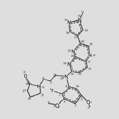 COc1cc(OC)c(F)c(N(CCCN2CCCC2=O)c2ccc3ncc(-c4cnn(C)c4)nc3n2)c1